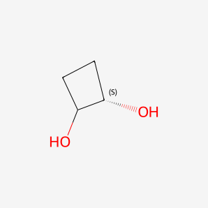 OC1CC[C@@H]1O